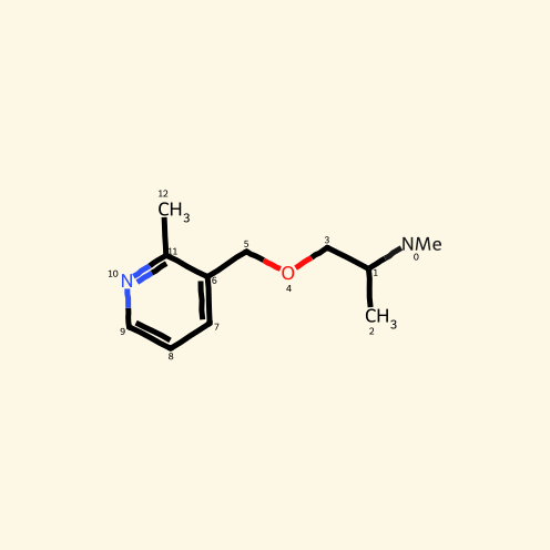 CNC(C)COCc1cccnc1C